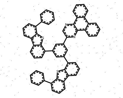 c1ccc(-c2cccc3c2sc2c(-c4cc(-c5cnc6c7ccccc7c7ccccc7c6n5)cc(-c5cccc6c5sc5c(-c7ccccc7)cccc56)c4)cccc23)cc1